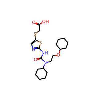 O=C(O)CSc1cnc(NC(=O)N(CCOC2CCCCC2)C2CCCCC2)s1